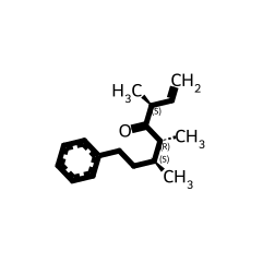 C=C[C@H](C)C(=O)[C@H](C)[C@@H](C)CCc1ccccc1